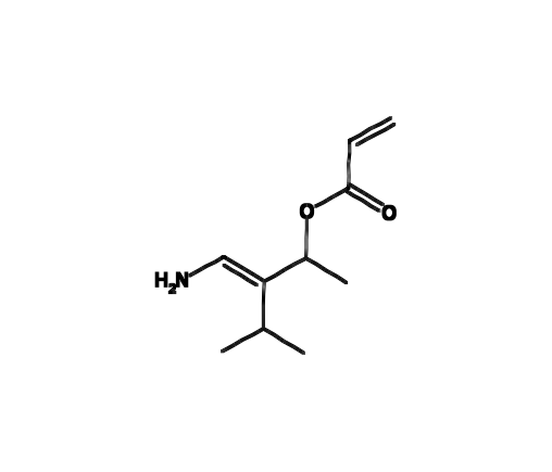 C=CC(=O)OC(C)/C(=C/N)C(C)C